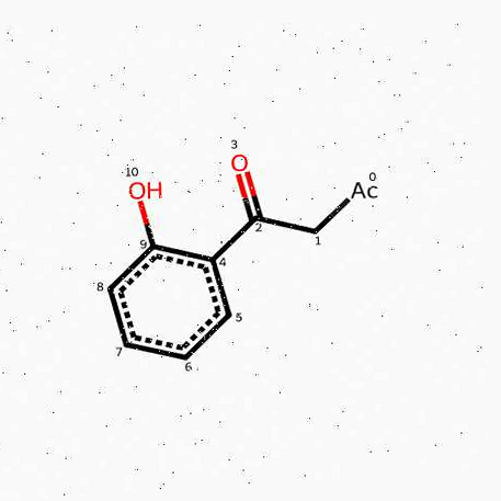 CC(=O)CC(=O)c1ccccc1O